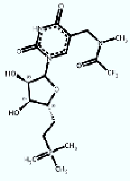 C=P(C)(C)CC[C@H]1OC(n2cc(CN(C)C(=O)C(F)(F)F)c(=O)[nH]c2=O)[C@H](O)[C@@H]1O